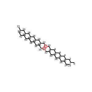 CCCCCCCCCCCOCCCCCCCCCCC.CCCCCCCCCCOCCCCCCCCCC